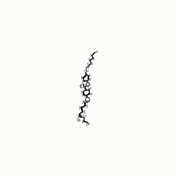 CCCCCCCCc1ccc(OC(=O)c2ccc(OCCCCC[C@@H](C)CCC)cc2)cc1